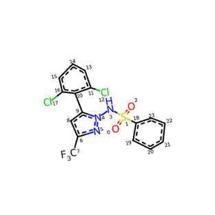 O=S(=O)(Nn1nc(C(F)(F)F)cc1-c1c(Cl)cccc1Cl)c1ccccc1